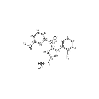 CNCc1cc(-c2ccccc2F)c([S+]([O-])c2cccc(OC)c2)s1